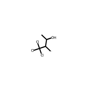 [CH2]C(C(C)O)C(Cl)(Cl)Cl